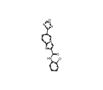 O=C(Nc1ccccc1Cl)c1cn2cc(-c3nc[nH]n3)ccc2n1